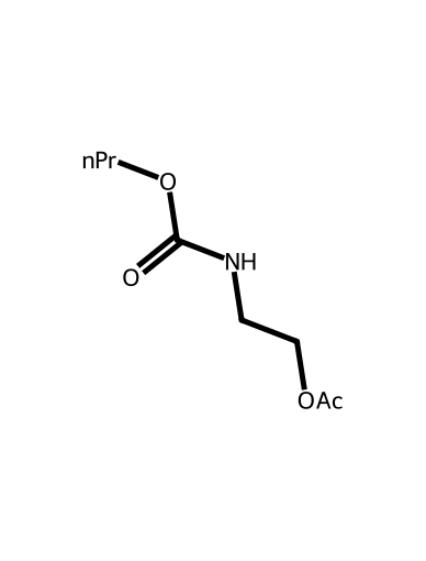 CCCOC(=O)NCCOC(C)=O